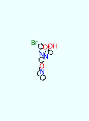 O=C(O)C1(Cc2nc3cc(OCc4ccc5ccccc5n4)ccc3n2Cc2cccc(Br)c2)CCCC1